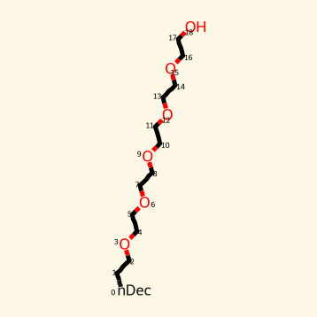 CCCCCCCCCCCCOCCOCCOCCOCCOCCO